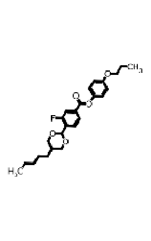 CCCCCC1COC(c2ccc(C(=O)Oc3ccc(OCCC)cc3)cc2F)OC1